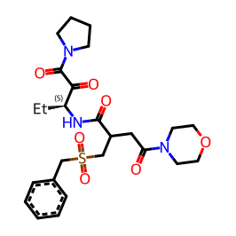 CC[C@H](NC(=O)C(CC(=O)N1CCOCC1)CS(=O)(=O)Cc1ccccc1)C(=O)C(=O)N1CCCC1